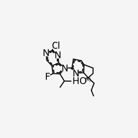 CCC[C@@]1(O)CCc2ccc(-n3c(C(C)C)c(F)c4cnc(Cl)nc43)nc21